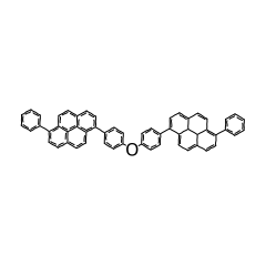 C1=CC2=C(c3ccccc3)C=CC3=CC=C4C(c5ccc(Oc6ccc(-c7ccc8ccc9c(-c%10ccccc%10)ccc%10ccc7c8c%109)cc6)cc5)=CC=C1C4C32